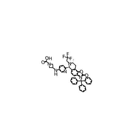 C[C@@H]1Cc2c(ccc3c2oc(=O)n3C(c2ccccc2)(c2ccccc2)c2ccccc2)[C@@H](c2ccc(NC3CN(C(=O)O)C3)cn2)N1CC(F)(F)F